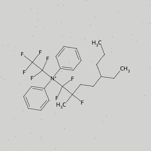 CCCC(CC)CCC(C)(F)C(F)(F)[N+](c1ccccc1)(c1ccccc1)C(F)(F)C(F)(F)F